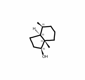 C[C@H]1CCC[C@]2(C)[C@@H](O)CC[C@@H]12